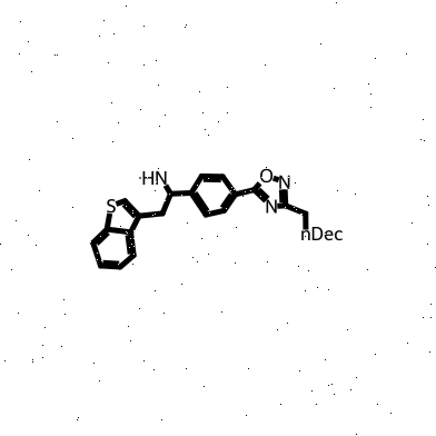 CCCCCCCCCCCc1noc(-c2ccc(C([NH])Cc3csc4ccccc34)cc2)n1